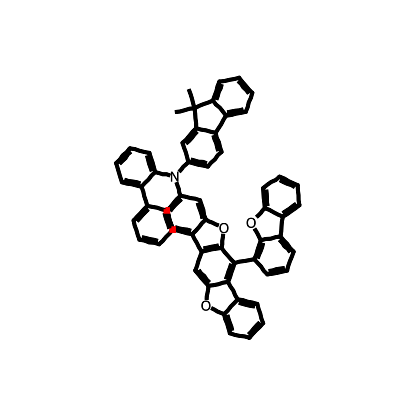 CC1(C)c2ccccc2-c2ccc(N(c3ccc4c(c3)oc3c(-c5cccc6c5oc5ccccc56)c5c(cc34)oc3ccccc35)c3ccccc3-c3ccccc3)cc21